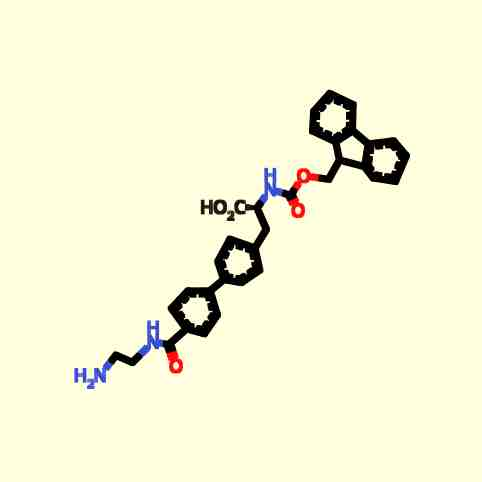 NCCNC(=O)c1ccc(-c2ccc(C[C@H](NC(=O)OCC3c4ccccc4-c4ccccc43)C(=O)O)cc2)cc1